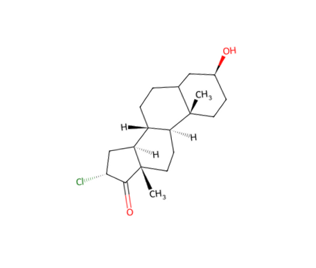 C[C@]12CC[C@H](O)CC1CC[C@@H]1[C@@H]2CC[C@]2(C)C(=O)[C@H](Cl)C[C@@H]12